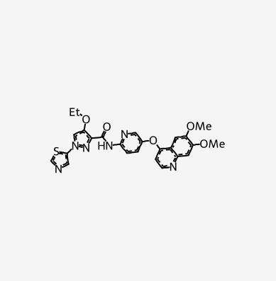 CCOc1cn(-c2cncs2)nc1C(=O)Nc1ccc(Oc2ccnc3cc(OC)c(OC)cc23)cn1